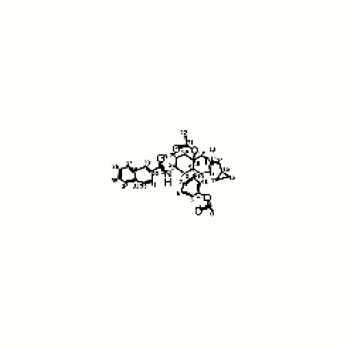 CC(=O)Oc1cccc([C@@]23CC[N@+](C)(CC4CC4)CC2(OC(C)=O)CC[C@@H](NC(=O)c2ccc4ccccc4c2)C3)c1